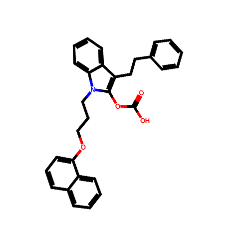 O=C(O)Oc1c(CCc2ccccc2)c2ccccc2n1CCCOc1cccc2ccccc12